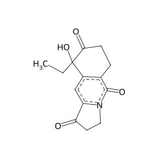 CCC1(O)C(=O)CCc2c1cc1n(c2=O)CCC1=O